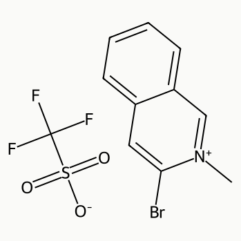 C[n+]1cc2ccccc2cc1Br.O=S(=O)([O-])C(F)(F)F